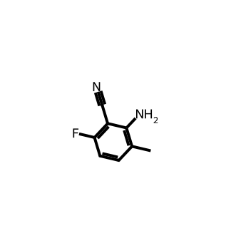 Cc1ccc(F)c(C#N)c1N